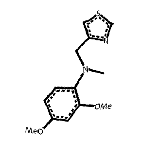 COc1ccc(N(C)Cc2cs[c]n2)c(OC)c1